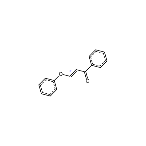 O=C(/C=C/Oc1ccccc1)c1ccccc1